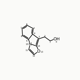 OCCc1c2ccccc2n2ccoc12